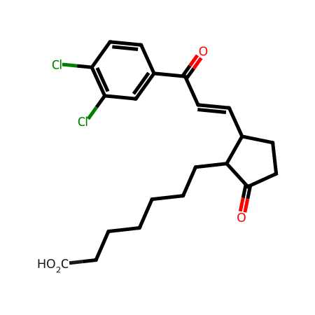 O=C(O)CCCCCCC1C(=O)CCC1C=CC(=O)c1ccc(Cl)c(Cl)c1